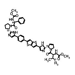 COC(=O)NC(C(=O)N1CC=C[C@H]1c1ncc(-c2cc3sc(-c4ccc(-c5cnc([C@@H]6CCCN6C(=O)[C@H](NC(=O)OC)c6ccccc6)[nH]5)cc4)cc3s2)[nH]1)C(C)C